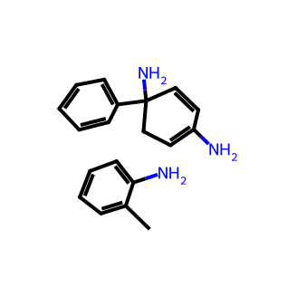 Cc1ccccc1N.NC1=CCC(N)(c2ccccc2)C=C1